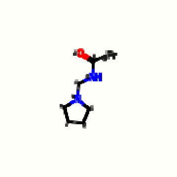 CC(C)C(=O)NCN1CCCC1